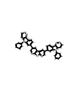 c1ccc(-n2c3cc(-c4cnc5oc6ncc(-c7ccc8c9nnccc9n(-c9ccccc9)c8c7)cc6c5c4)ccc3c3nnccc32)cc1